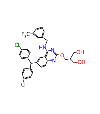 OCC(CO)COc1nc(NCc2cccc(C(F)(F)F)c2)c2cc(C(c3ccc(Cl)cc3)c3ccc(Cl)cc3)ccc2n1